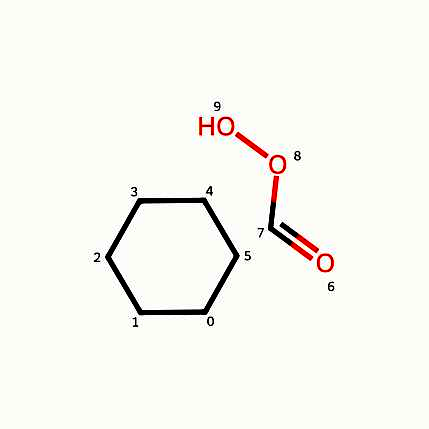 C1CCCCC1.O=COO